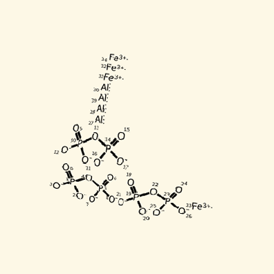 O=P([O-])([O-])OP(=O)([O-])[O-].O=P([O-])([O-])OP(=O)([O-])[O-].O=P([O-])([O-])OP(=O)([O-])[O-].[Al].[Al].[Al].[Al].[Fe+3].[Fe+3].[Fe+3].[Fe+3]